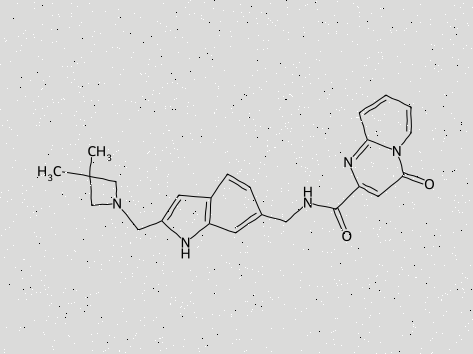 CC1(C)CN(Cc2cc3ccc(CNC(=O)c4cc(=O)n5ccccc5n4)cc3[nH]2)C1